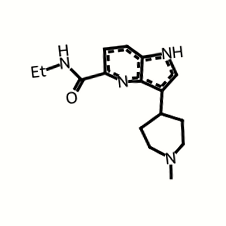 CCNC(=O)c1ccc2[nH]cc(C3CCN(C)CC3)c2n1